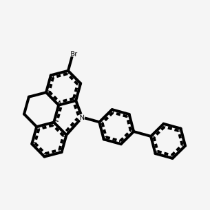 Brc1cc2c3c4c(cccc4n(-c4ccc(-c5ccccc5)cc4)c3c1)CC2